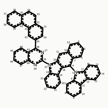 c1ccc2c(-n3c4ccccc4c4ccccc43)c3c4ccccc4n(-c4nc(-c5ccc6ccc7ccccc7c6c5)c5ccccc5n4)c3cc2c1